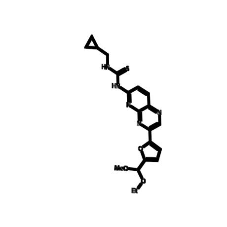 CCOC(OC)c1ccc(-c2cnc3ccc(NC(=S)NCC4CC4)nc3n2)o1